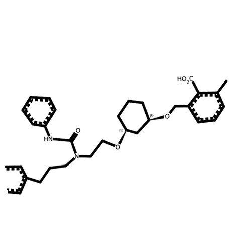 Cc1cccc(CO[C@@H]2CCC[C@H](OCCN(CCCc3ccccc3)C(=O)Nc3ccccc3)C2)c1C(=O)O